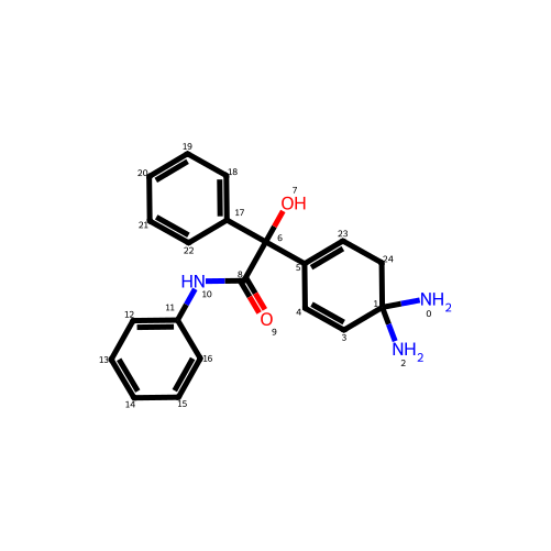 NC1(N)C=CC(C(O)(C(=O)Nc2ccccc2)c2ccccc2)=CC1